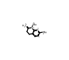 C=C1CCc2ccc(C(C)(C)C)nc2N1C(C)(C)C